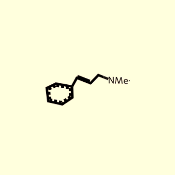 C[N]CC=Cc1ccccc1